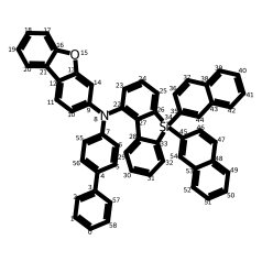 c1ccc(-c2ccc(N(c3ccc4c(c3)oc3ccccc34)c3cccc4c3-c3ccccc3[Si]4(c3ccc4ccccc4c3)c3ccc4ccccc4c3)cc2)cc1